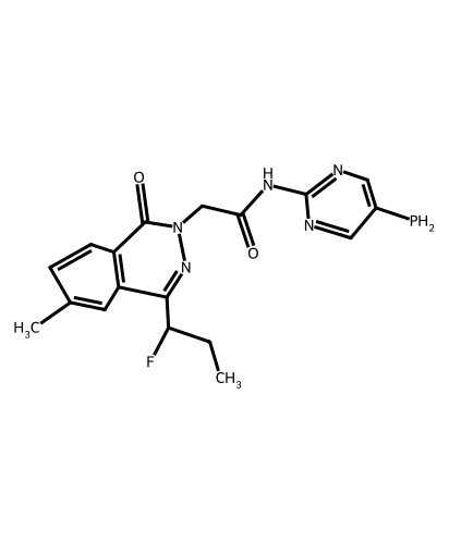 CCC(F)c1nn(CC(=O)Nc2ncc(P)cn2)c(=O)c2ccc(C)cc12